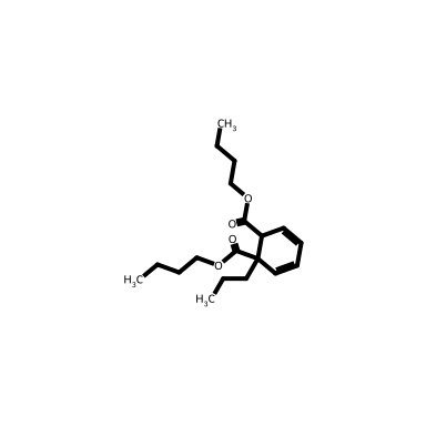 CCCCOC(=O)C1C=CC=CC1(CCC)C(=O)OCCCC